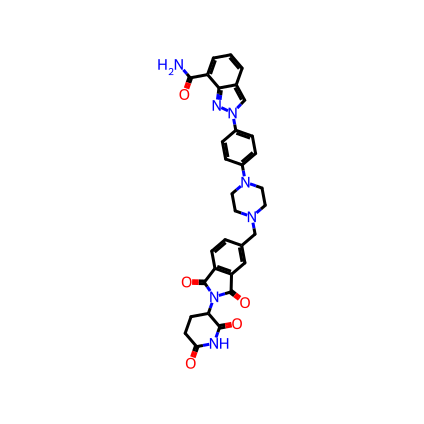 NC(=O)c1cccc2cn(-c3ccc(N4CCN(Cc5ccc6c(c5)C(=O)N(C5CCC(=O)NC5=O)C6=O)CC4)cc3)nc12